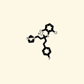 CC(CCc1ccc(F)cc1)(CCn1ccnc1)Sc1c(Cl)cccc1Cl